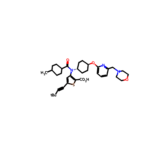 CC1CCC(C(=O)N(c2cc(C#CC(C)(C)C)sc2C(=O)O)[C@H]2CC[C@H](Oc3cccc(CN4CCOCC4)n3)CC2)CC1